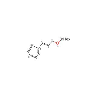 CCCCCCOC/C=C/c1ccccc1